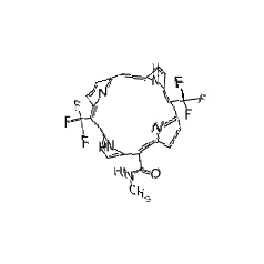 CNC(=O)c1c2nc(c(C(F)(F)F)c3ccc(cc4nc(c(C(F)(F)F)c5ccc1[nH]5)C=C4)[nH]3)C=C2